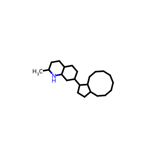 CC1CCC2CCC(C3CCC4CCCCCCCCC43)CC2N1